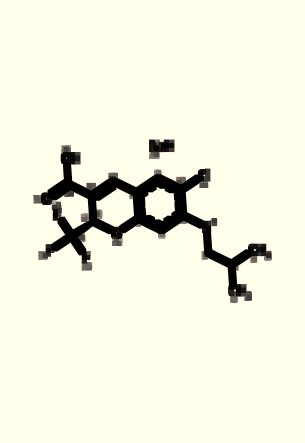 CC(C)CSc1cc2c(cc1Cl)C=C(C(=O)O)[C@H](C(F)(F)F)O2.[NaH]